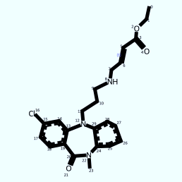 CCOC(=O)/C=C/CNCCCN1c2cc(Cl)ccc2C(=O)N(C)c2ccccc21